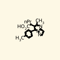 CCCC(C(=O)O)c1c(C)nc2ccnn2c1-c1ccc(C)cc1